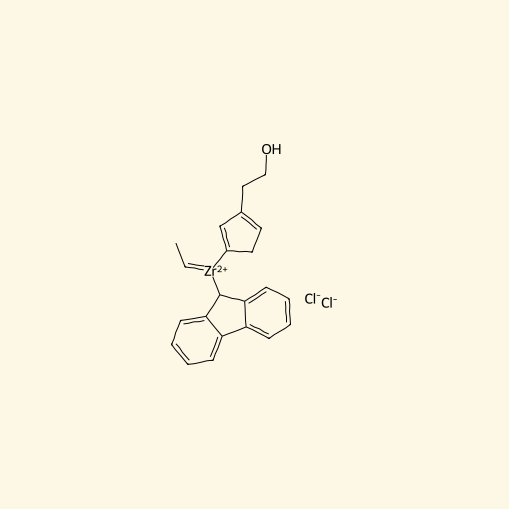 C[CH]=[Zr+2]([C]1=CC(CCO)=CC1)[CH]1c2ccccc2-c2ccccc21.[Cl-].[Cl-]